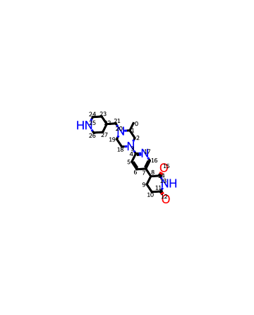 CC1CN(c2ccc(C3CCC(=O)NC3=O)cn2)CCN1CC1CCNCC1